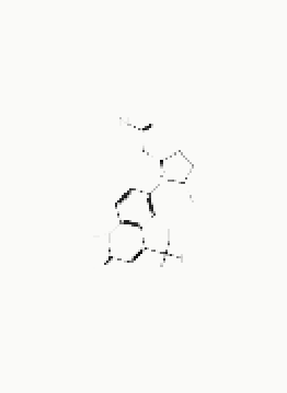 C[C@@H]1CC[C@H](CC(N)=O)N1c1ccc2[nH]c(=O)cc(C(F)(F)F)c2c1